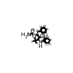 CC(C)(C)C(N[C@H]1CC2CCC1C2)[C@H](O)[C@H](Cc1ccccc1)OC(N)=O